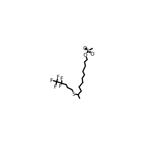 CC(CCCCCCCCCOS(C)(=O)=O)SCCCC(F)(F)C(F)(F)F